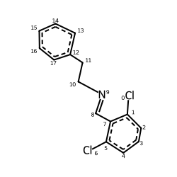 Clc1cccc(Cl)c1C=NCCc1ccccc1